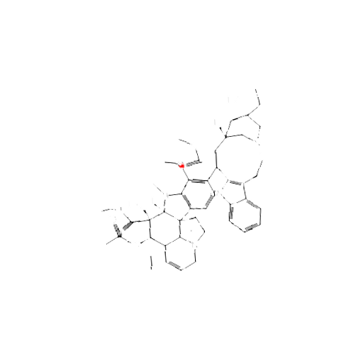 CC[C@]1(O)C[C@@H]2C[N@@](CCc3c([nH]c4ccccc34)[C@@](C(=O)OC)(c3ccc4c(c3OC)N(C)[C@H]3[C@@](O)(C(=O)OC)[C@H](OC(C)=O)[C@]5(CC)C=CCN6CC[C@]43[C@@H]65)C2)C1